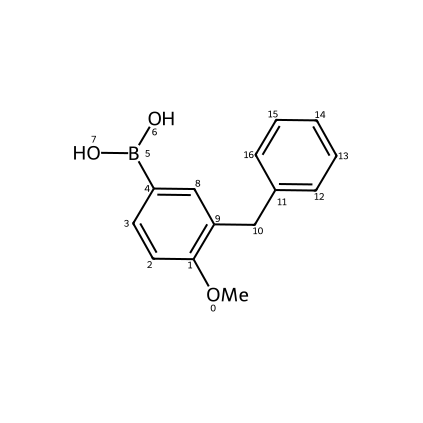 COc1ccc(B(O)O)cc1Cc1ccccc1